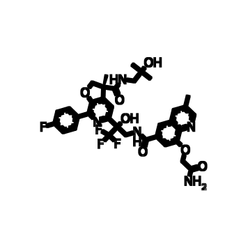 Cc1cnc2c(OCC(N)=O)cc(C(=O)NCC(O)(c3cc4c(c(-c5ccc(F)cc5)n3)OC[C@]4(C)C(=O)NCC(C)(C)O)C(F)(F)F)cc2c1